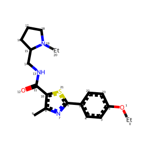 CCOc1ccc(-c2nc(C)c(C(=O)NCC3CCCN3CC)s2)cc1